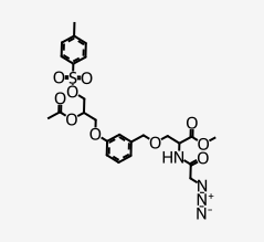 COC(=O)C(COCc1cccc(OCC(COS(=O)(=O)c2ccc(C)cc2)OC(C)=O)c1)NC(=O)CN=[N+]=[N-]